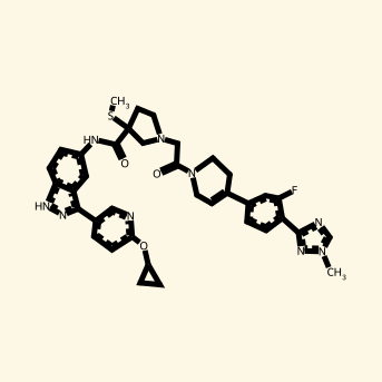 CSC1(C(=O)Nc2ccc3[nH]nc(-c4ccc(OC5CC5)nc4)c3c2)CCN(CC(=O)N2CC=C(c3ccc(-c4ncn(C)n4)c(F)c3)CC2)C1